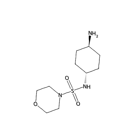 N[C@H]1CC[C@H](NS(=O)(=O)N2CCOCC2)CC1